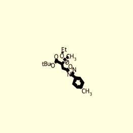 CCOP(C)(=O)C(Cc1nc(-c2ccc(C)cc2)no1)C(=O)OC(C)(C)C